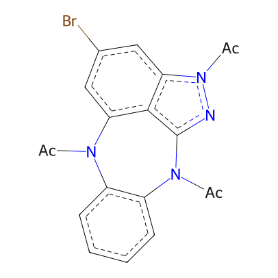 CC(=O)N1c2ccccc2N(C(C)=O)c2nn(C(C)=O)c3cc(Br)cc1c23